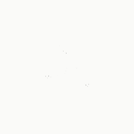 CCN(C)Cc1ccc(OC)cc1OC